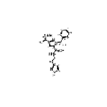 CNC(=O)c1cc(C(O)NCCc2cc[nH]n2)n([C@@H](C)c2ccccc2)n1